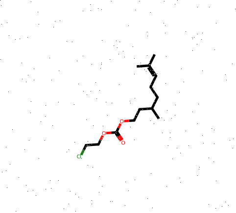 CC(C)=CCCC(C)CCOC(=O)OCCCl